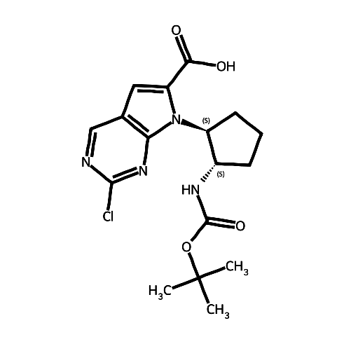 CC(C)(C)OC(=O)N[C@H]1CCC[C@@H]1n1c(C(=O)O)cc2cnc(Cl)nc21